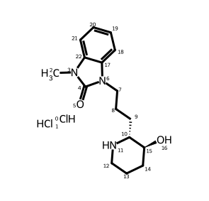 Cl.Cl.Cn1c(=O)n(CCC[C@H]2NCCC[C@@H]2O)c2ccccc21